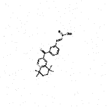 COC(=O)C=Cc1cccc(C(=O)c2ccc3c(c2)C(C)(C)CCC3(C)C)c1